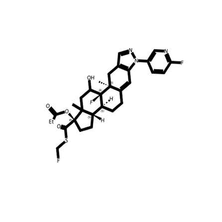 CCC(=O)O[C@]1(C(=O)SCF)CC[C@H]2[C@@H]3CCC4=Cc5c(cnn5-c5ccc(F)nc5)C[C@]4(C)[C@@]3(F)C(O)CC21C